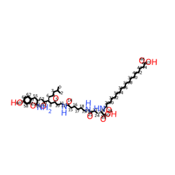 CC(C)CC(=O)C[C@@H](CCCCNC(=O)CCCCCNC(=O)CC[C@H](NC(=O)CCCCCCCCCCCCCCCCC(=O)O)C(=O)O)C(=O)C[C@@H](Cc1ccc(O)cc1)C(N)=O